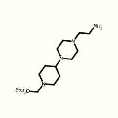 CCOC(=O)CN1CCC(N2CCN(CCN)CC2)CC1